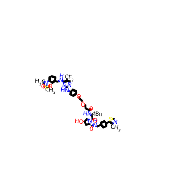 Cc1ncsc1-c1ccc(CNC(=O)[C@@H]2C[C@@H](O)CN2C(=O)C(NC(=O)CCOCCOc2ccc(Nc3ncc(C(F)(F)F)c(NCc4cccc(N(C)S(C)(=O)=O)c4)n3)cc2)C(C)(C)C)cc1